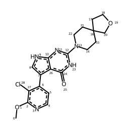 COc1nccc(-c2c[nH]c3nc(N4CCC5(CCOC5)CC4)[nH]c(=O)c23)c1Cl